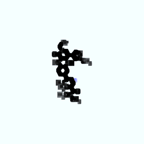 C=C(/C=C\C(=C)C1CCC(Nc2cc(-c3cnn(C)c3)cn(CC(C)C)c2=O)C(O)C1)C(=O)N(C)C